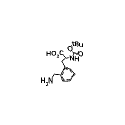 CC(C)(C)OC(=O)NC(Cc1ccccc1CN)C(=O)O